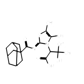 Cc1s/c(=N\C(=O)C23CC4CC(CC(C4)C2)C3)n(C(C(=O)O)C(C)(C)C)c1C